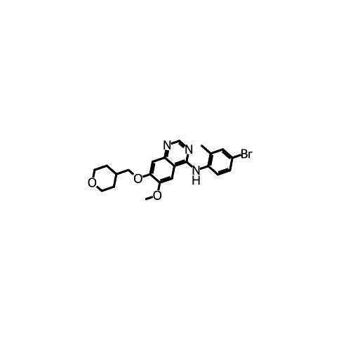 COc1cc2c(Nc3ccc(Br)cc3C)ncnc2cc1OCC1CCOCC1